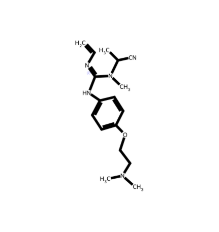 C=C/N=C(/Nc1ccc(OCCN(C)C)cc1)N(C)C(C)C#N